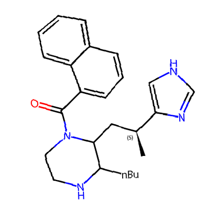 CCCCC1NCCN(C(=O)c2cccc3ccccc23)C1C[C@H](C)c1c[nH]cn1